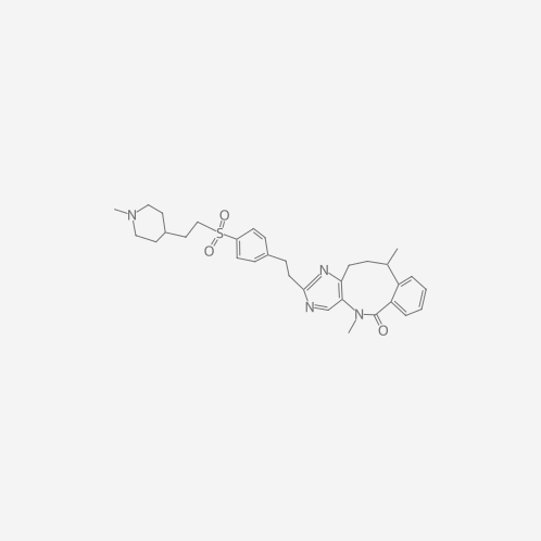 CC1CCc2nc(CCc3ccc(S(=O)(=O)CCC4CCN(C)CC4)cc3)ncc2N(C)C(=O)c2ccccc21